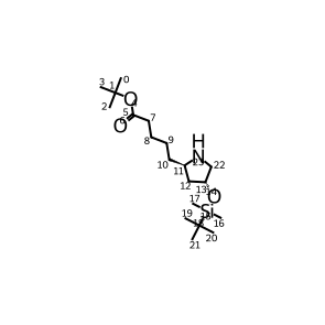 CC(C)(C)OC(=O)CCCC[C@@H]1C[C@@H](O[Si](C)(C)C(C)(C)C)CN1